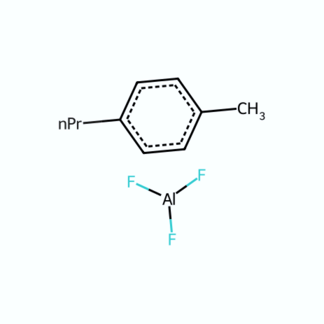 C[CH]Cc1ccc(C)cc1.[F][Al]([F])[F]